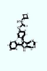 O=C(NC1CCC1)Oc1ccc(-c2c(-c3ccccc3)[nH]c3cncnc23)cc1